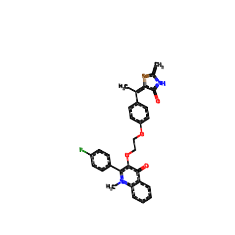 C=c1[nH]c(=O)/c(=C(/C)c2ccc(OCCOc3c(-c4ccc(F)cc4)n(C)c4ccccc4c3=O)cc2)s1